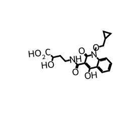 O=C(NCCC(O)C(=O)O)c1c(O)c2ccccc2n(OCC2CC2)c1=O